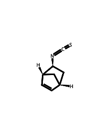 S=C=N[C@H]1C[C@@H]2C=C[C@H]1C2